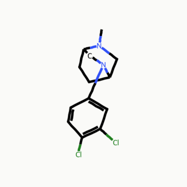 CN1CC2CCC1CN2c1ccc(Cl)c(Cl)c1